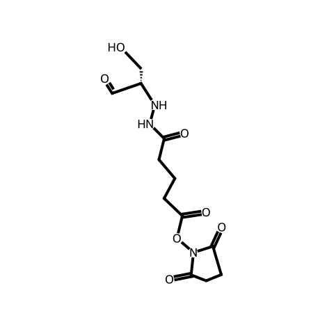 O=C[C@H](CO)NNC(=O)CCCC(=O)ON1C(=O)CCC1=O